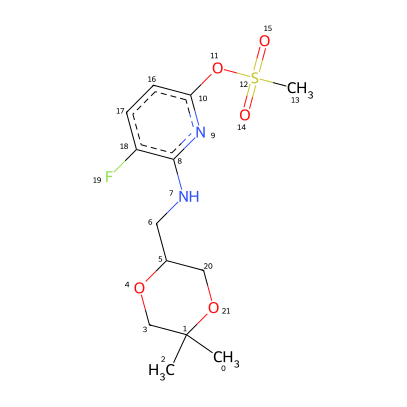 CC1(C)COC(CNc2nc(OS(C)(=O)=O)ccc2F)CO1